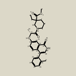 CCC1(C(=O)OC)CCCN(C(=O)[C@@H](C)Oc2ccc3c(-c4ccccc4C)c[nH]c(=O)c3c2)C1